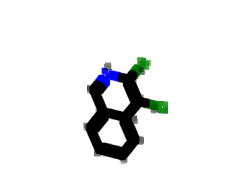 Clc1c(Br)ncc2ccccc12